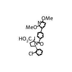 COc1ccc(-c2ccc(C(=O)N3[C@@H](c4ccccc4Cl)CC[C@]3(I)C(=O)O)cc2)c(OC)n1